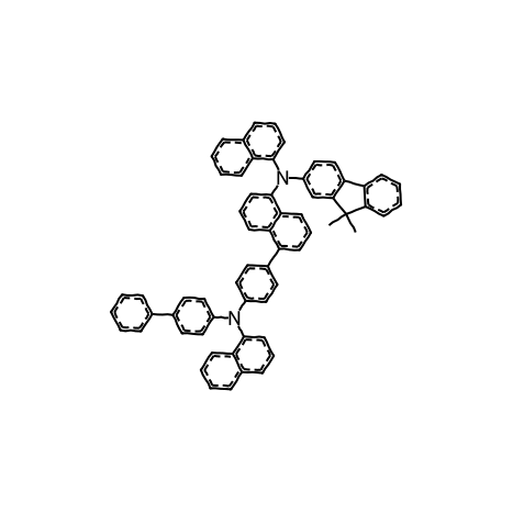 CC1(C)c2ccccc2-c2ccc(N(c3cccc4ccccc34)c3cccc4c(-c5ccc(N(c6ccc(-c7ccccc7)cc6)c6cccc7ccccc67)cc5)cccc34)cc21